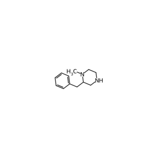 CN1CCNCC1Cc1ccccc1